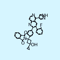 O=C1c2ccccc2C(=O)N1[C@]1(c2ccc(-c3nc4ccnc(-c5cn[nH]c5)c4cc3-c3ccccc3F)cc2)C[C@@](O)(C2CC2)C1